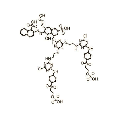 O=S(=O)(O)OCCS(=O)(=O)c1ccc(Nc2nc(Cl)nc(NCCSc3nc(Nc4cc(S(=O)(=O)O)cc5cc(SOOO)c(/N=N/c6ccc7ccccc7c6S(=O)(=O)O)c(O)c45)nc(SCCNc4nc(Cl)nc(Nc5ccc(S(=O)(=O)CCOS(=O)(=O)O)cc5)n4)n3)n2)cc1